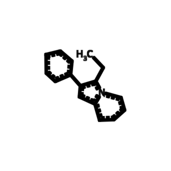 CCc1c(-c2ccccc2)cc2ccccn12